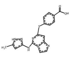 Cc1cc(Nc2nc(Sc3ccc(C(=O)O)cc3)cc3nccn23)n[nH]1